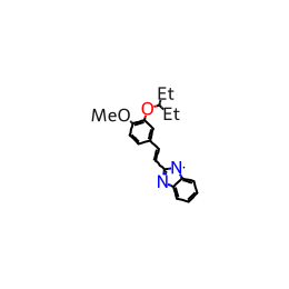 CCC(CC)Oc1cc(C=CC2=Nc3ccccc3[N]2)ccc1OC